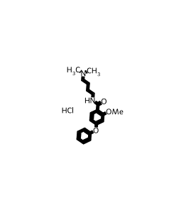 COc1cc(Oc2ccccc2)ccc1C(=O)NCCCCN(C)C.Cl